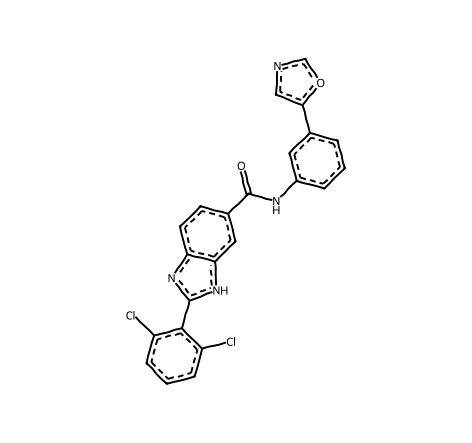 O=C(Nc1cccc(-c2cnco2)c1)c1ccc2nc(-c3c(Cl)cccc3Cl)[nH]c2c1